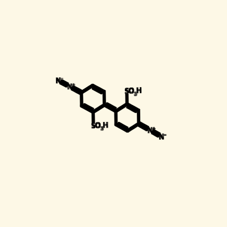 [N-]=[N+]=C1C=CC(=C2C=CC(=[N+]=[N-])C=C2S(=O)(=O)O)C(S(=O)(=O)O)=C1